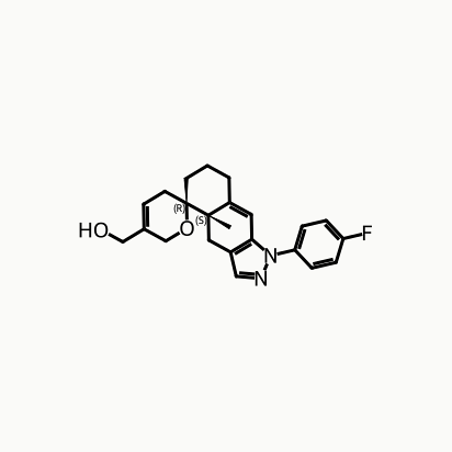 C[C@]12Cc3cnn(-c4ccc(F)cc4)c3C=C1CCC[C@@]21CC=C(CO)CO1